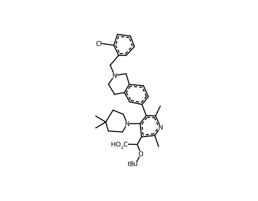 Cc1nc(C)c(C(OC(C)(C)C)C(=O)O)c(N2CCC(C)(C)CC2)c1-c1ccc2c(c1)CCN(Cc1ccccc1Cl)C2